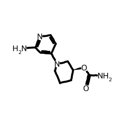 NC(=O)O[C@H]1CCCN(c2ccnc(N)c2)C1